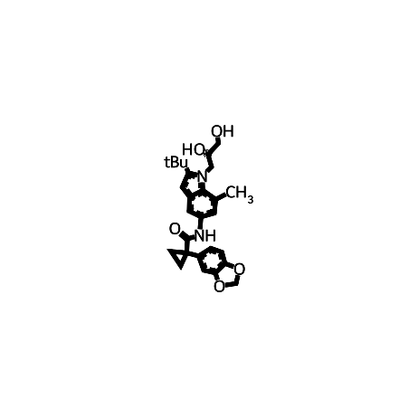 Cc1cc(NC(=O)C2(c3ccc4c(c3)OCO4)CC2)cc2cc(C(C)(C)C)n(C[C@@H](O)CO)c12